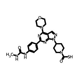 CNC(=O)Nc1ccc(-c2nc(N3CCOCC3)c3cnn(C4CCN(C(=O)S)CC4)c3n2)cc1